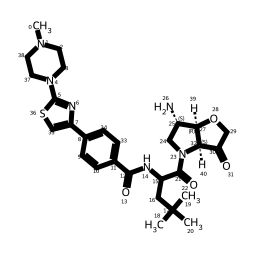 CN1CCN(c2nc(-c3ccc(C(=O)NC(CC(C)(C)C)C(=O)N4C[C@H](N)[C@H]5OCC(=O)[C@H]54)cc3)cs2)CC1